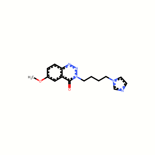 COc1ccc2nnn(CCCCn3ccnc3)c(=O)c2c1